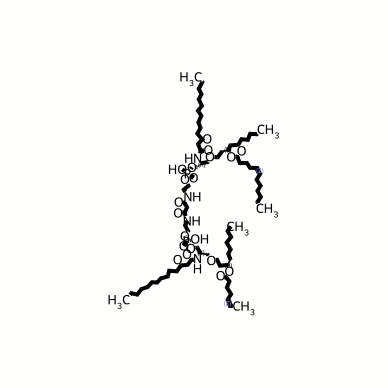 C/C=C\CCCC(=O)O[C@H](CCCCCCC)CCOC[C@H](COP(=O)(O)OCCNC(=O)CC(=O)NCCOP(=O)(O)OC[C@@H](COCC[C@@H](CCCCCCC)OC(=O)CCC/C=C\CCCCCC)NC(=O)CC(=O)CCCCCCCCCCC)NC(=O)CC(=O)CCCCCCCCCCC